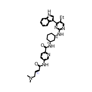 CCc1cnc(N[C@@H]2CCC[C@H](NC(=O)c3ccc(NC(=O)/C=C/CN(C)C)cn3)C2)nc1-c1c[nH]c2ccccc12